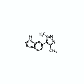 Cc1nnn(C)c1-c1ccc2cc[nH]c2c1